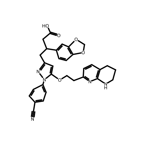 N#Cc1ccc(-n2nc(CC(CC(=O)O)c3ccc4c(c3)OCO4)cc2OCCc2ccc3c(n2)NCCC3)cc1